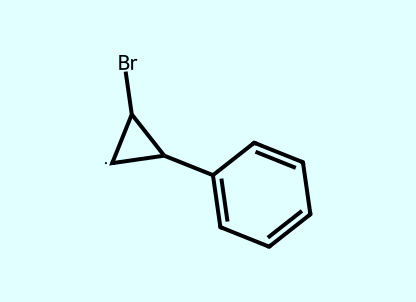 BrC1[CH]C1c1ccccc1